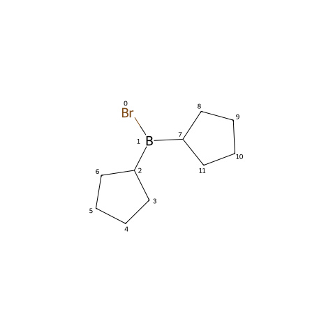 BrB(C1CCCC1)C1CCCC1